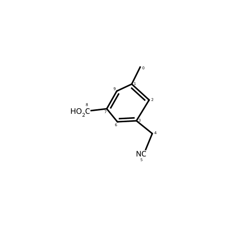 Cc1cc(CC#N)cc(C(=O)O)c1